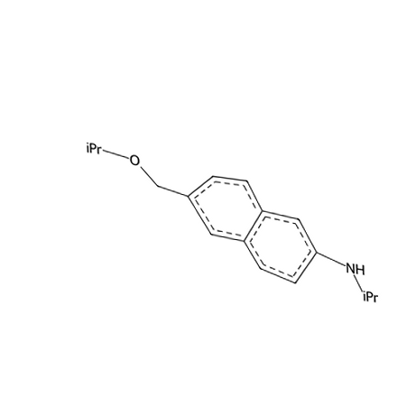 CC(C)Nc1ccc2cc(COC(C)C)ccc2c1